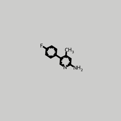 Cc1cc(N)ncc1-c1ccc(F)cc1